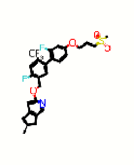 C[C@@H]1Cc2cnc(OCc3cc(-c4ccc(OCCCS(C)(=O)=O)cc4F)c(C(F)(F)F)cc3F)cc2C1